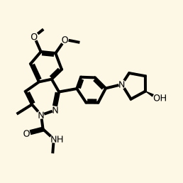 CNC(=O)N1N=C(c2ccc(N3CC[C@@H](O)C3)cc2)c2cc(OC)c(OC)cc2C=C1C